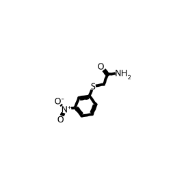 NC(=O)CSc1cccc([N+](=O)[O-])c1